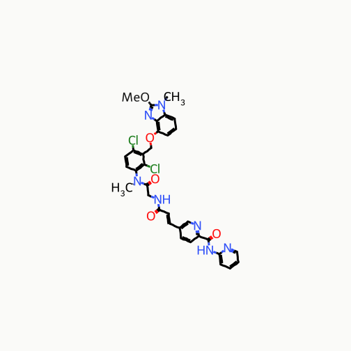 COc1nc2c(OCc3c(Cl)ccc(N(C)C(=O)CNC(=O)C=Cc4ccc(C(=O)Nc5ccccn5)nc4)c3Cl)cccc2n1C